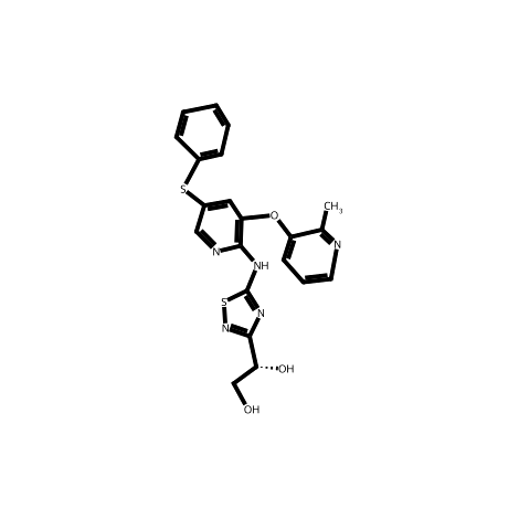 Cc1ncccc1Oc1cc(Sc2ccccc2)cnc1Nc1nc([C@H](O)CO)ns1